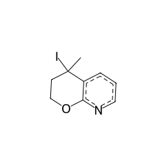 CC1(I)CCOc2ncccc21